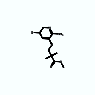 COC(=O)C(C)(C)COC1=CC(Br)CN=C1N